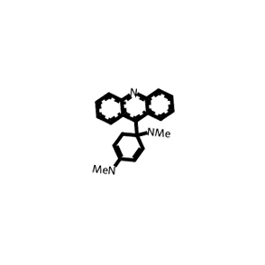 CNC1=CCC(NC)(c2c3ccccc3nc3ccccc23)C=C1